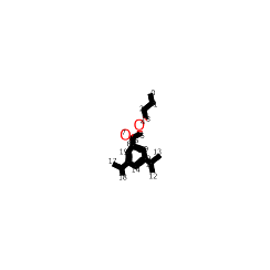 CCCCOCC(=O)c1cc(C(C)C)cc(C(C)C)c1